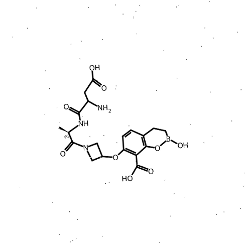 C[C@@H](NC(=O)C(N)CC(=O)O)C(=O)N1CC(Oc2ccc3c(c2C(=O)O)OB(O)CC3)C1